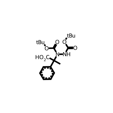 CC(C)(C)OC(=O)NN(C(=O)OC(C)(C)C)C(C)(C(=O)O)c1ccccc1